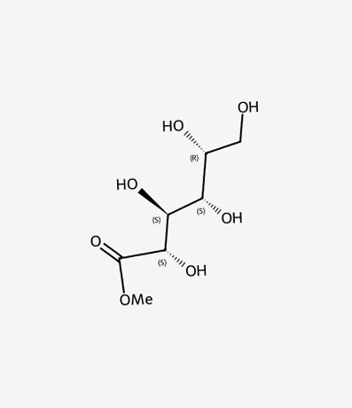 COC(=O)[C@@H](O)[C@@H](O)[C@@H](O)[C@H](O)CO